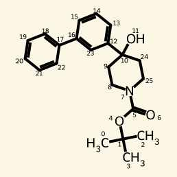 CC(C)(C)OC(=O)N1CCC(O)(c2cccc(-c3ccccc3)c2)CC1